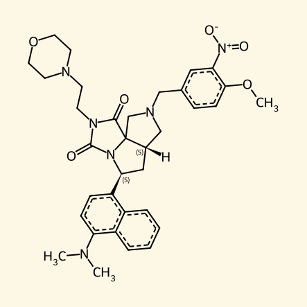 COc1ccc(CN2C[C@@H]3C[C@@H](c4ccc(N(C)C)c5ccccc45)N4C(=O)N(CCN5CCOCC5)C(=O)C34C2)cc1[N+](=O)[O-]